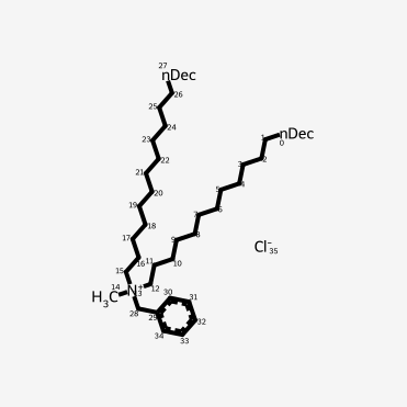 CCCCCCCCCCCCCCCCCCCCCC[N+](C)(CCCCCCCCCCCCCCCCCCCCCC)Cc1ccccc1.[Cl-]